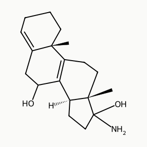 C[C@]12CCCC=C1CC(O)C1=C2CC[C@@]2(C)[C@H]1CCC2(N)O